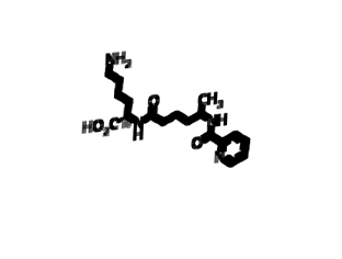 CC(CCCC(=O)N[C@@H](CCCCN)C(=O)O)NC(=O)c1ccccn1